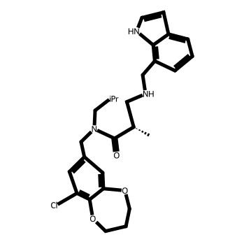 CC(C)CN(Cc1cc(Cl)c2c(c1)OCCCO2)C(=O)[C@@H](C)CNCc1cccc2cc[nH]c12